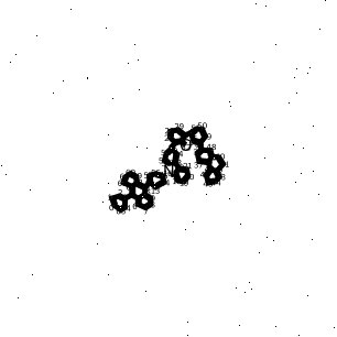 c1ccc(-c2c3ccccc3c(-c3ccc(-n4c5ccccc5c5cc(-c6cccc7c6oc6c(-c8ccc9c(ccc%10ccccc%109)c8)cccc67)ccc54)cc3)c3ccccc23)cc1